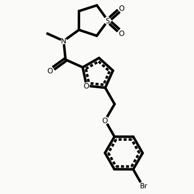 CN(C(=O)c1ccc(COc2ccc(Br)cc2)o1)C1CCS(=O)(=O)C1